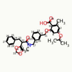 Cc1cc(OC(C)C)cc(OCc2cccc(CN(C)C(=O)C(Cc3ccccc3)C3=COCO3)c2)c1C(=O)O